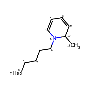 CCCCCCCCCCN1C=CC=CC1C